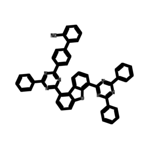 N#Cc1ccccc1-c1ccc(-c2nc(-c3ccccc3)nc(-c3cccc4oc5c(-c6nc(-c7ccccc7)nc(-c7ccccc7)n6)cccc5c34)n2)cc1